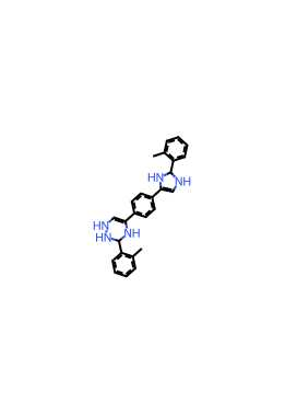 Cc1ccccc1C1NC=C(c2ccc(C3=CNNC(c4ccccc4C)N3)cc2)N1